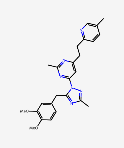 COc1ccc(Cc2nc(C)nn2-c2cc(CCc3ccc(C)cn3)nc(C)n2)cc1OC